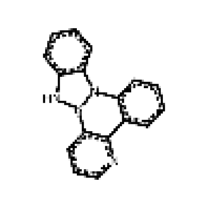 c1ccc2c(c1)NB1c3cccnc3-c3ccccc3N12